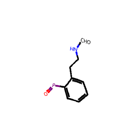 O=CNCCc1ccccc1P=O